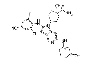 C[C@]1(C(N)=O)CC[C@@H](n2c(Nc3c(F)cc(C#N)cc3Cl)nc3cnc(N[C@@H]4CCC[C@H](O)C4)nc32)CC1